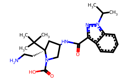 CC(C)n1nc(C(=O)N[C@@H]2CN(C(=O)O)[C@@](CCN)(C(C)(C)C)C2)c2ccccc21